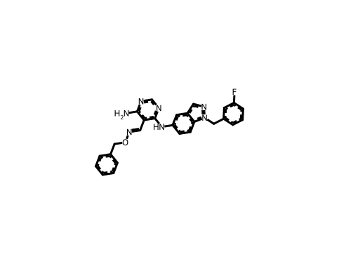 Nc1ncnc(Nc2ccc3c(cnn3Cc3cccc(F)c3)c2)c1/C=N/OCc1ccccc1